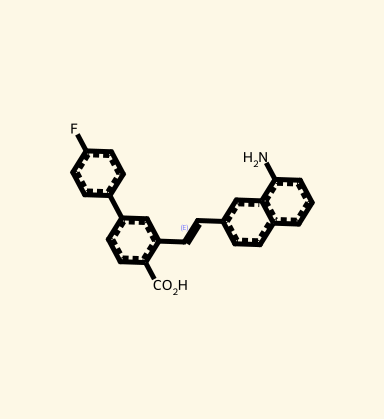 Nc1cccc2ccc(/C=C/c3cc(-c4ccc(F)cc4)ccc3C(=O)O)cc12